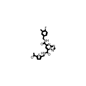 CC(=O)c1ccc(CNC(=O)c2cc(C(=O)NCc3ccc(F)c(C)c3)nc3ncnn23)s1